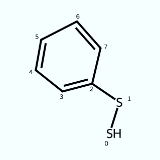 SSc1ccccc1